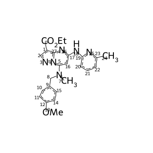 CCOC(=O)c1cnn2c(N(C)Cc3ccc(OC)cc3)cc(Nc3cccc(C)n3)nc12